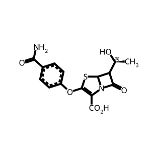 C[C@H](O)C1C(=O)N2C(C(=O)O)=C(Oc3ccc(C(N)=O)cc3)SC12